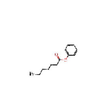 CC(C)CCCCCC(=O)Oc1ccccc1